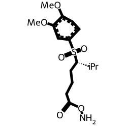 COc1ccc(S(=O)(=O)[C@@H](CCCC(=O)ON)C(C)C)cc1OC